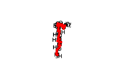 CC[C@@]1(OC(=O)OCc2ccc(NC(=O)CNC(=O)COCC(=O)NC(C)(C)COC(C)(C)Cn3cc(CNC(=O)CCCC#Cc4cnc(S)nc4)nn3)cc2)C(=O)OCc2c1cc1n(c2=O)Cc2c-1nc1ccccc1c2CCN(C(C)=O)C(C)C